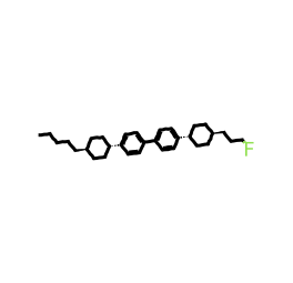 CCCCC[C@H]1CC[C@H](c2ccc(-c3ccc([C@H]4CC[C@H](CCCF)CC4)cc3)cc2)CC1